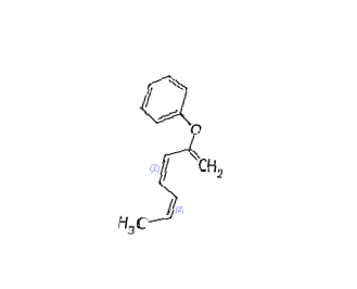 C=C(/C=C\C=C/C)Oc1ccccc1